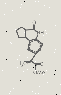 C=C(C(=O)OC)c1ccc2c(c1)C1CCCC1C(=O)N2